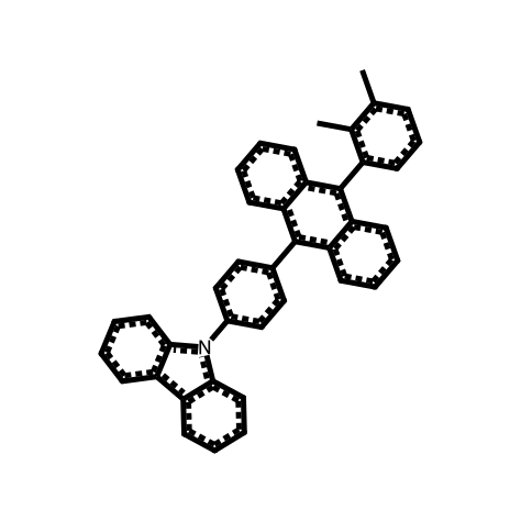 Cc1cccc(-c2c3ccccc3c(-c3ccc(-n4c5ccccc5c5ccccc54)cc3)c3ccccc23)c1C